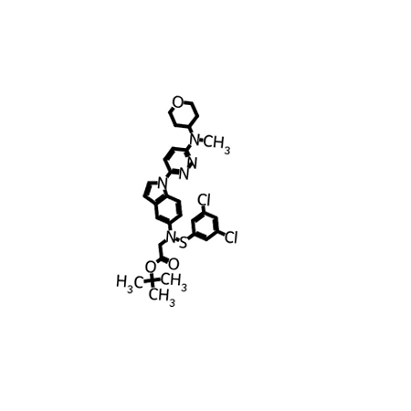 CN(c1ccc(-n2ccc3cc(N(CC(=O)OC(C)(C)C)Sc4cc(Cl)cc(Cl)c4)ccc32)nn1)C1CCOCC1